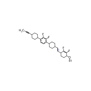 CC#CC1CCC(c2ccc(C3CCC(/C=C/C4CCC(OCC)C(F)=C4F)CC3)c(F)c2F)CC1